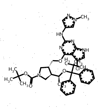 C[C@H](OC(c1ccccc1)(c1ccccc1)C(C)(C)C)[C@H]1CN(C(=O)OC(C)(C)C)C[C@@H]1COc1nc(Nc2cnn(C)c2)nc2[nH]cc(Cl)c12